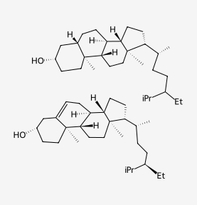 CCC(CC[C@@H](C)[C@H]1CC[C@H]2[C@@H]3CC[C@H]4C[C@@H](O)CC[C@]4(C)[C@H]3CC[C@]12C)C(C)C.CC[C@H](CC[C@@H](C)[C@H]1CC[C@H]2[C@@H]3CC=C4C[C@@H](O)CC[C@]4(C)[C@H]3CC[C@]12C)C(C)C